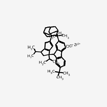 CC(C)C1CC(C(C)C)(C2c3cc(C(C)(C)C)ccc3-c3ccc(C(C)(C)C)cc32)C2=C1CC(C13CC4CC(CC(C4)C1)C3)=C2.[Cl-].[Cl-].[Zr+2]